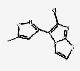 Clc1nc2sccn2c1-c1cc(I)on1